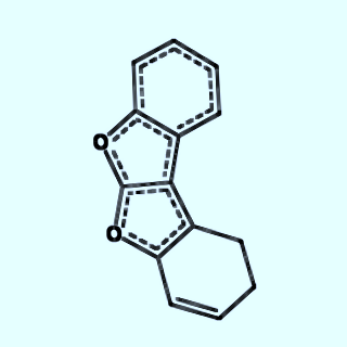 C1=Cc2oc3oc4ccccc4c3c2CC1